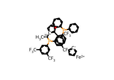 C[C@@H]([c-]1cccc1-c1ccccc1P(c1ccccc1)c1ccccc1)P(c1cc(C(F)(F)F)cc(C(F)(F)F)c1)c1cc(C(F)(F)F)cc(C(F)(F)F)c1.[Fe+2].c1cc[cH-]c1